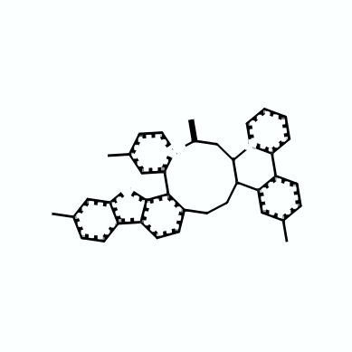 C=C1CC2C(CCc3ccc4c(oc5cc(C)ccc54)c3-c3cc(C)cc[n+]31)c1cc(C)ccc1-c1cccc[n+]12